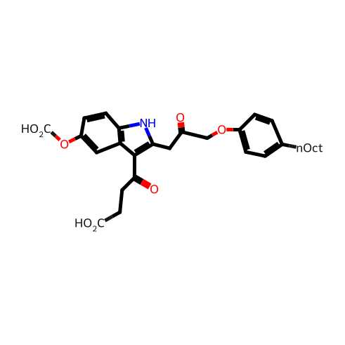 CCCCCCCCc1ccc(OCC(=O)Cc2[nH]c3ccc(OC(=O)O)cc3c2C(=O)CCC(=O)O)cc1